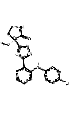 O=C1NCC[C@]1(CF)c1nnc(-c2ncccc2Nc2ccc(C(F)(F)F)cc2)o1